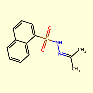 CC(C)=NNS(=O)(=O)c1cccc2ccccc12